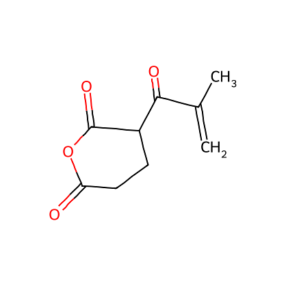 C=C(C)C(=O)C1CCC(=O)OC1=O